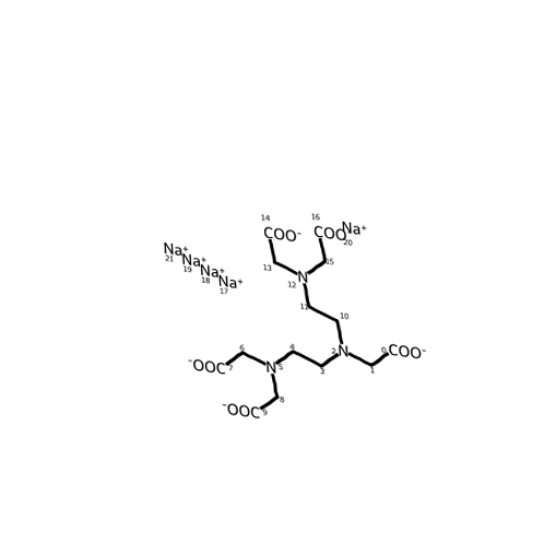 O=C([O-])CN(CCN(CC(=O)[O-])CC(=O)[O-])CCN(CC(=O)[O-])CC(=O)[O-].[Na+].[Na+].[Na+].[Na+].[Na+]